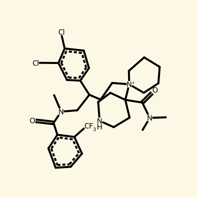 CN(C)C(=O)C1([N+]2(CCC(CN(C)C(=O)c3ccccc3C(F)(F)F)c3ccc(Cl)c(Cl)c3)CCCCC2)CCNCC1